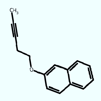 CC#CCCOc1ccc2ccccc2c1